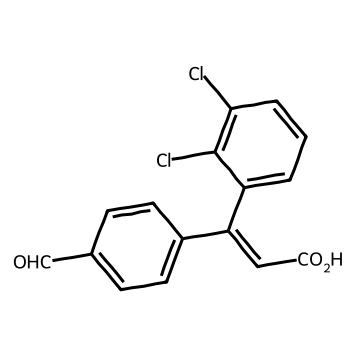 O=Cc1ccc(C(=CC(=O)O)c2cccc(Cl)c2Cl)cc1